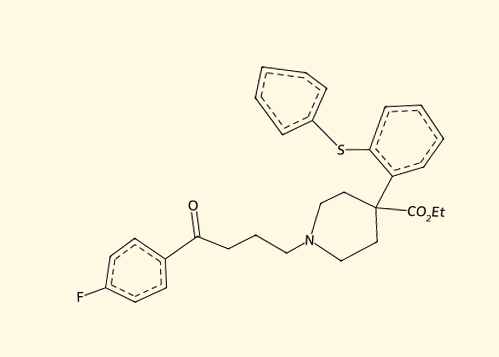 CCOC(=O)C1(c2ccccc2Sc2ccccc2)CCN(CCCC(=O)c2ccc(F)cc2)CC1